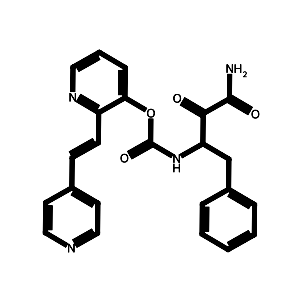 NC(=O)C(=O)C(Cc1ccccc1)NC(=O)Oc1cccnc1/C=C/c1ccncc1